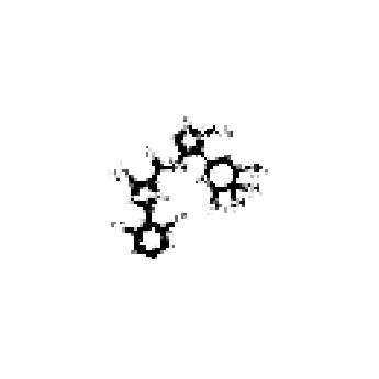 CC1O[C@@H](c2c(NC(=O)c3nc(-c4c(F)cccc4F)sc3N)cnn2C)C[C@@H](N)C1(C)O